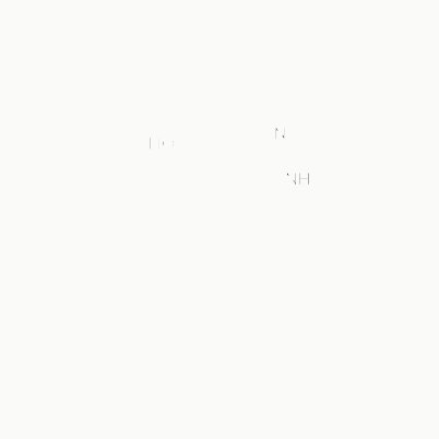 OC(C1=NN1)c1ccccc1